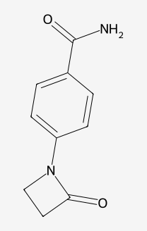 NC(=O)c1ccc(N2CCC2=O)cc1